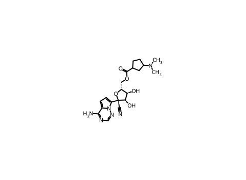 CN(C)C1CCC(C(=O)OC[C@H]2O[C@@](C#N)(c3ccc4c(N)ncnn34)[C@H](O)[C@@H]2O)C1